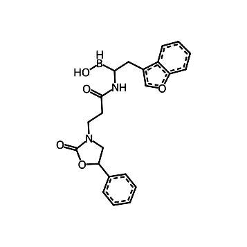 O=C(CCN1CC(c2ccccc2)OC1=O)NC(BO)Cc1coc2ccccc12